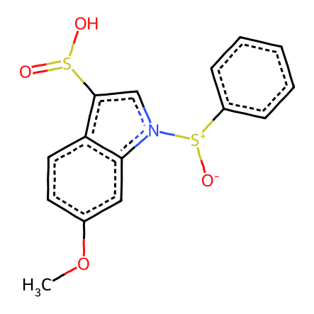 COc1ccc2c(S(=O)O)cn([S+]([O-])c3ccccc3)c2c1